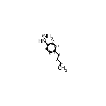 C=CCCc1ccc(NN)cc1